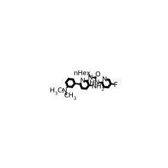 CCCCCCN(C(=O)Nc1ccc(F)cn1)c1nc(-c2cccc(N(C)C)c2)ccc1N